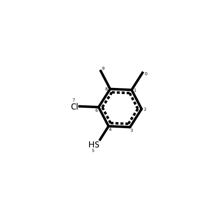 Cc1ccc(S)c(Cl)c1C